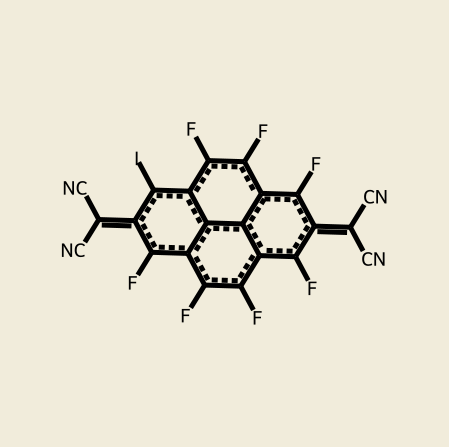 N#CC(C#N)=c1c(F)c2c(F)c(F)c3c(F)c(=C(C#N)C#N)c(I)c4c(F)c(F)c(c1F)c2c34